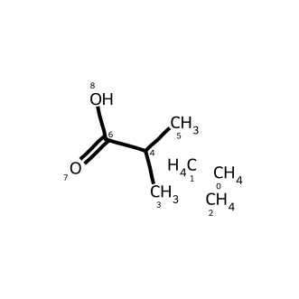 C.C.C.CC(C)C(=O)O